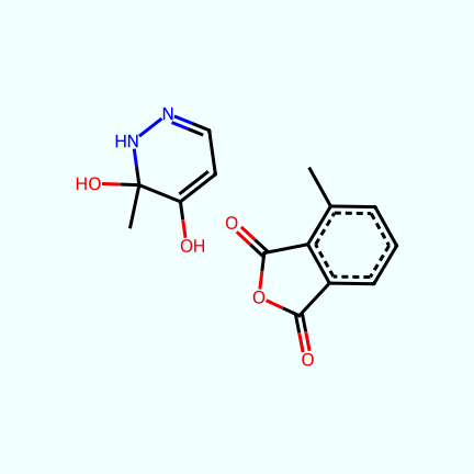 CC1(O)NN=CC=C1O.Cc1cccc2c1C(=O)OC2=O